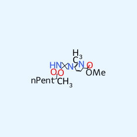 CCCCCC(C)C(=O)OC1NCC12CN(c1ccc(C(=O)OC)nc1C)C2